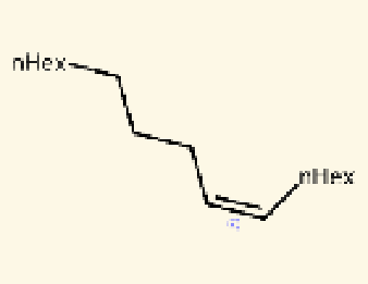 CCCCCC/C=C\CCCCCCCCC